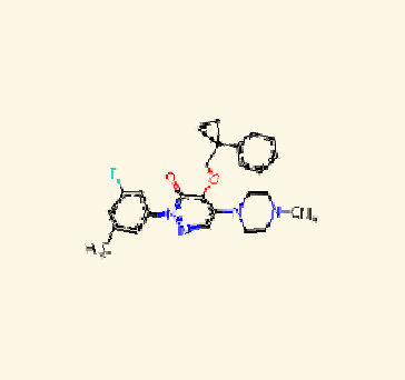 Cc1cc(F)cc(-n2ncc(N3CCN(C)CC3)c(OCC3(c4ccccc4)CC3)c2=O)c1